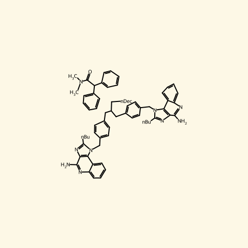 CCCCCCCCCCCC(Cc1ccc(Cn2c(CCCC)nc3c(N)nc4ccccc4c32)cc1)Cc1ccc(Cn2c(CCCC)nc3c(N)nc4ccccc4c32)cc1.CN(C)C(=O)C(c1ccccc1)c1ccccc1